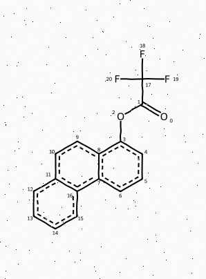 O=C(Oc1cccc2c1ccc1ccccc12)C(F)(F)F